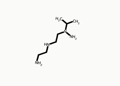 CC(C)N(N)CCNCCN